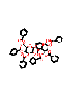 O=C(OC[C@H]1[C@H](OC(=O)c2ccccc2)[C@@H](OC(=O)c2ccccc2)[C@H](O)O[C@H]1CO[C@@H]1O[C@H](COC(=O)c2ccccc2)[C@@H](OC(=O)c2ccccc2)[C@@H](OC(=O)c2ccccc2)[C@@H]1OC(=O)c1ccccc1)c1ccccc1